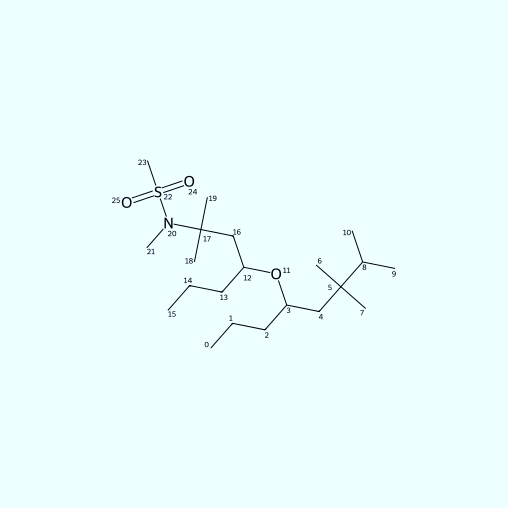 CCCC(CC(C)(C)C(C)C)OC(CCC)CC(C)(C)N(C)S(C)(=O)=O